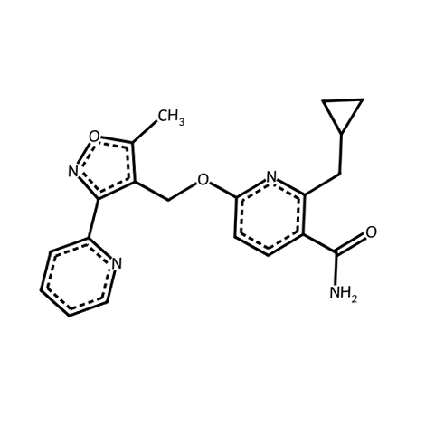 Cc1onc(-c2ccccn2)c1COc1ccc(C(N)=O)c(CC2CC2)n1